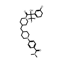 CN(C)C(=O)c1ccc(N2CCC(CC3CCN(C(=O)C(O)(C4=CCCC(Cl)=C4)C(F)(F)F)CC3)CC2)cc1